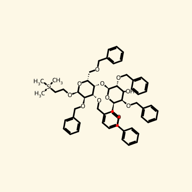 C[Si](C)(C)CCO[C@H]1O[C@H](COCc2ccccc2)[C@H](O[C@@H]2O[C@H](COCc3ccccc3)[C@H](OCc3ccccc3)[C@H](O)[C@H]2OCc2ccccc2)[C@H](OCc2ccccc2)[C@H]1OCc1ccccc1